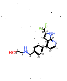 OCCNCc1ccc(-c2ccnc3[nH]c(C(F)F)cc23)cc1